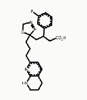 O=C(O)CC(CC1(CCCc2ccc3c(n2)NCCC3)N=NCO1)c1cccc(F)c1